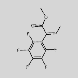 CC=C(C(=O)OC)c1c(F)c(F)c(F)c(F)c1F